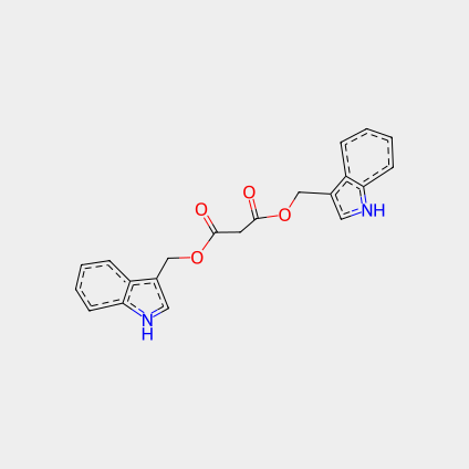 O=C(CC(=O)OCc1c[nH]c2ccccc12)OCc1c[nH]c2ccccc12